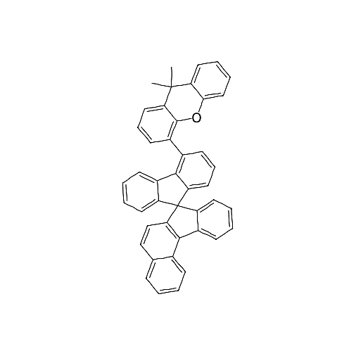 CC1(C)c2ccccc2Oc2c(-c3cccc4c3-c3ccccc3C43c4ccccc4-c4c3ccc3ccccc43)cccc21